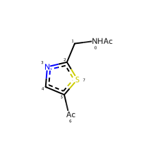 CC(=O)NCc1ncc(C(C)=O)s1